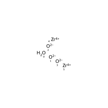 O.[O-2].[O-2].[O-2].[Zr+4].[Zr+4]